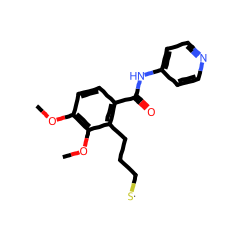 COc1ccc(C(=O)Nc2ccncc2)c(CCC[S])c1OC